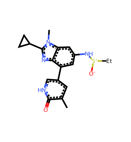 CC[S+]([O-])Nc1cc(-c2c[nH]c(=O)c(C)c2)c2nc(C3CC3)n(C)c2c1